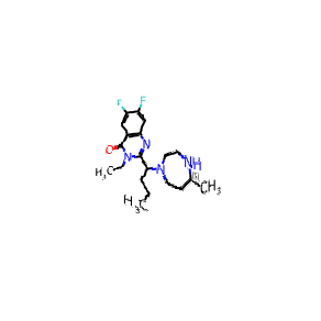 CCCC(c1nc2cc(F)c(F)cc2c(=O)n1CC)N1CCN[C@@H](C)CC1